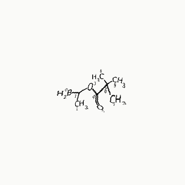 BC(C)OC(=O)C(C)(C)C